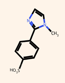 Cn1ccnc1-c1ccc(S(=O)(=O)O)cc1